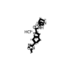 Cc1nc(-c2ccc3cc(C(=O)N[C@H]4CN5CCC4CC5)sc3c2)no1.Cl